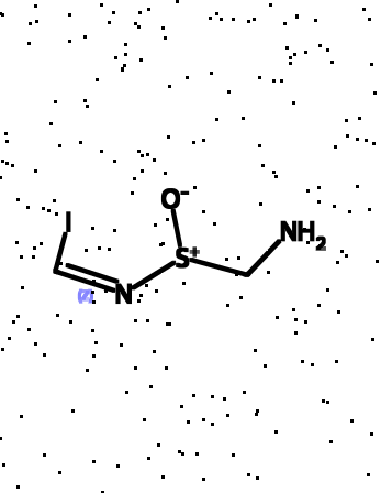 NC[S+]([O-])/N=C\I